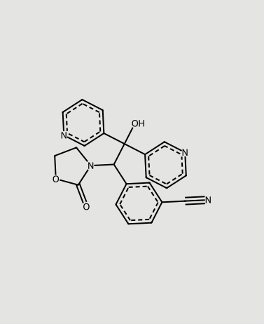 N#Cc1cccc(C(N2CCOC2=O)C(O)(c2cccnc2)c2cccnc2)c1